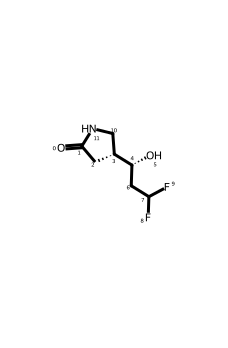 O=C1C[C@@H]([C@H](O)CC(F)F)CN1